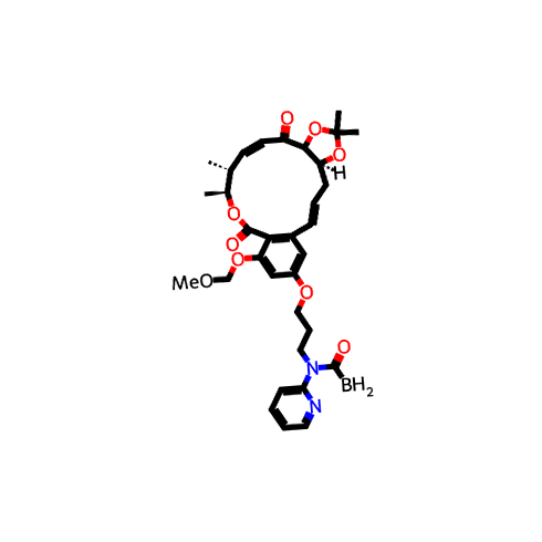 BC(=O)N(CCCOc1cc2c(c(OCOC)c1)C(=O)O[C@@H](C)[C@H](C)/C=C\C(=O)C1OC(C)(C)O[C@H]1C/C=C/2)c1ccccn1